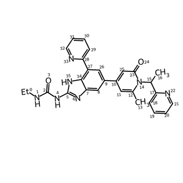 CCNC(=O)Nc1nc2cc(-c3cc(C)n(C(C)c4ccccn4)c(=O)c3)cc(-c3ccccn3)c2[nH]1